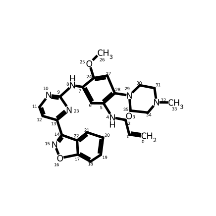 C=CC(=O)Nc1cc(Nc2nccc(-c3noc4ccccc34)n2)c(OC)cc1N1CCN(C)CC1